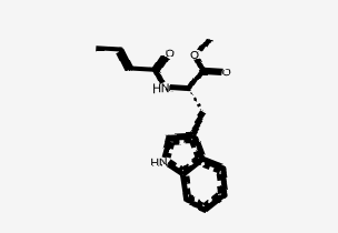 CC=CC(=O)N[C@@H](Cc1c[nH]c2ccccc12)C(=O)OC